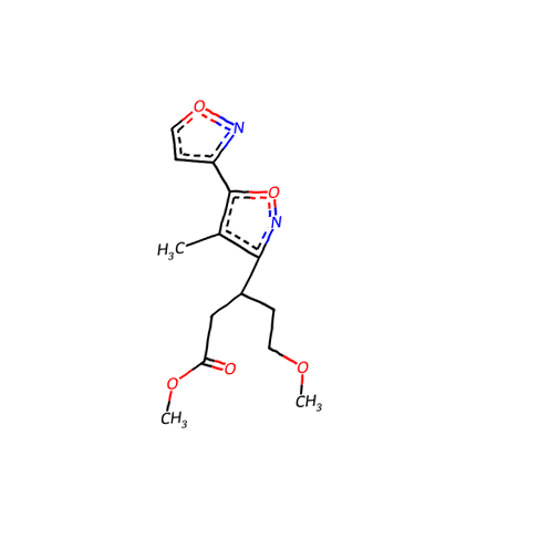 COCCC(CC(=O)OC)c1noc(-c2ccon2)c1C